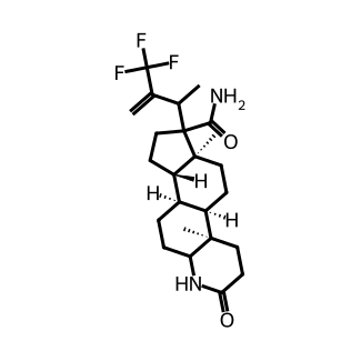 C=C(C(C)C1(C(N)=O)CC[C@H]2[C@@H]3CCC4NC(=O)CC[C@]4(C)[C@@H]3CC[C@@]21C)C(F)(F)F